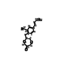 CC(C)(C)/C=C/c1ccc(CC2COCC(=O)CO2)c(Br)c1